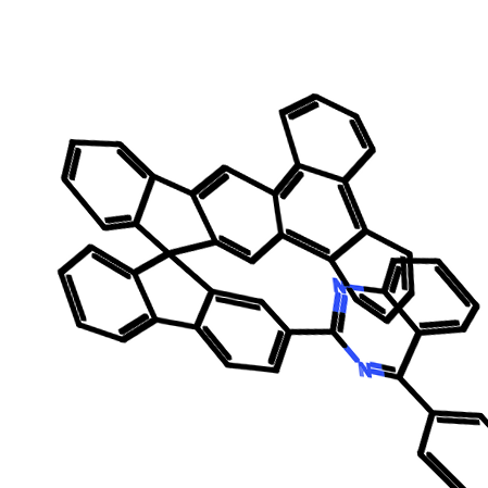 c1ccc(-c2nc(-c3ccc4c(c3)C3(c5ccccc5-4)c4ccccc4-c4cc5c6ccccc6c6ccccc6c5cc43)nc3ccccc23)cc1